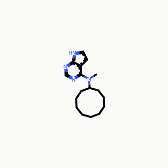 CN(c1ncnc2[nH]ccc12)C1CCCCCCCCC1